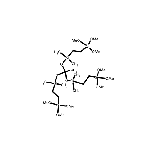 CO[Si](CC[Si](C)(C)OC([SiH3])(O[Si](C)(C)CC[Si](OC)(OC)OC)O[Si](C)(C)CC[Si](OC)(OC)OC)(OC)OC